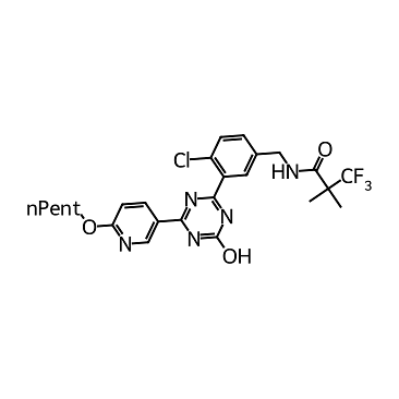 CCCCCOc1ccc(-c2nc(O)nc(-c3cc(CNC(=O)C(C)(C)C(F)(F)F)ccc3Cl)n2)cn1